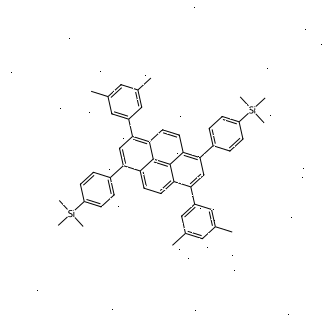 Cc1cc(C)cc(-c2cc(-c3ccc([Si](C)(C)C)cc3)c3ccc4c(-c5cc(C)cc(C)c5)cc(-c5ccc([Si](C)(C)C)cc5)c5ccc2c3c54)c1